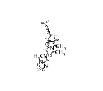 Cc1cc(N(C)Cc2ncccn2)cc(=O)n1[C@H](C)c1ccc(C#CC2CC2)cc1